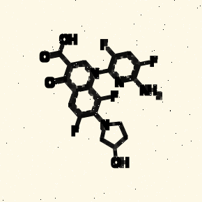 Nc1nc(-n2cc(C(=O)O)c(=O)c3cc(F)c(N4CCC(O)C4)c(F)c32)c(F)cc1F